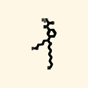 NC(=O)Nc1cccc(C(CCCOF)OCCCCCCBr)c1